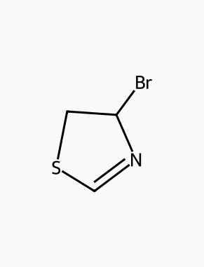 BrC1CSC=N1